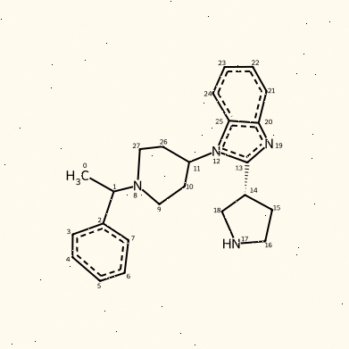 CC(c1ccccc1)N1CCC(n2c([C@@H]3CCNC3)nc3ccccc32)CC1